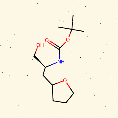 CC(C)(C)OC(=O)N[C@H](CO)CC1CCCO1